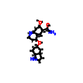 COc1cc2nccc(Oc3ccc4[nH]ccc4c3)c2cc1C(N)=O